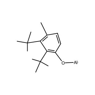 Cc1ccc([O][Al])c(C(C)(C)C)c1C(C)(C)C